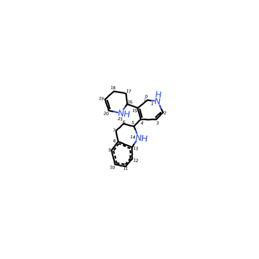 [C]1NC=CC(C2CCc3ccccc3N2)=C1C1CCC=CN1